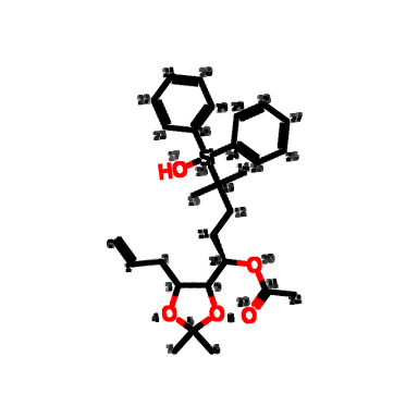 C=CCC1OC(C)(C)OC1[C@@H](CCC(C)(C)[Si](O)(c1ccccc1)c1ccccc1)OC(C)=O